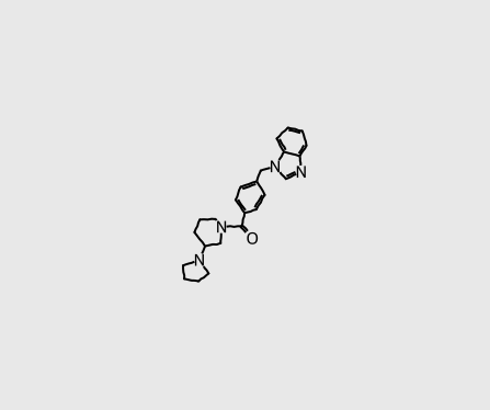 O=C(c1ccc(Cn2cnc3ccccc32)cc1)N1CCCC(N2CCCC2)C1